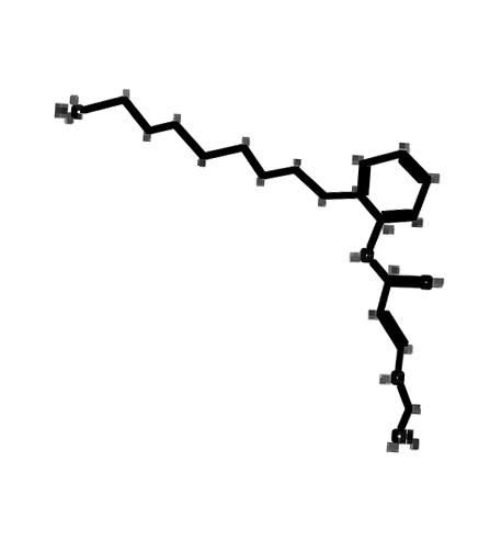 CCCCCCCCCc1ccccc1OC(=O)C=COCC